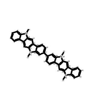 Cn1c2ccccc2c2cc3c(cc21)c1ccc(-c2ccc4c5cc6c(cc5n(C)c4c2)c2ccccc2n6C)cc1n3C